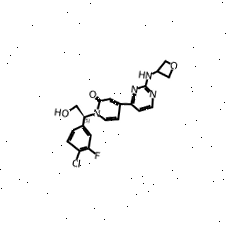 O=c1cc(-c2ccnc(NC3COC3)n2)ccn1[C@H](CO)c1ccc(Cl)c(F)c1